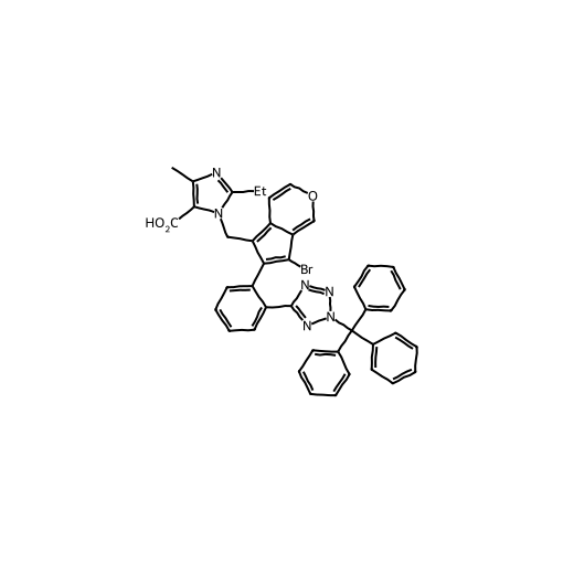 CCc1nc(C)c(C(=O)O)n1Cc1c2ccocc-2c(Br)c1-c1ccccc1-c1nnn(C(c2ccccc2)(c2ccccc2)c2ccccc2)n1